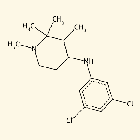 CC1C(Nc2cc(Cl)cc(Cl)c2)CCN(C)C1(C)C